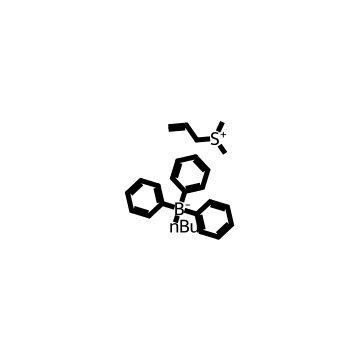 C=CC[S+](C)C.CCCC[B-](c1ccccc1)(c1ccccc1)c1ccccc1